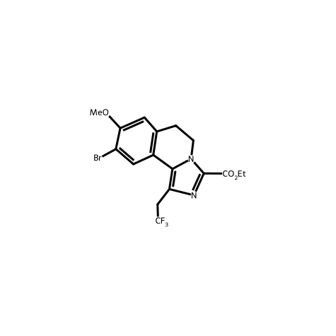 CCOC(=O)c1nc(CC(F)(F)F)c2n1CCc1cc(OC)c(Br)cc1-2